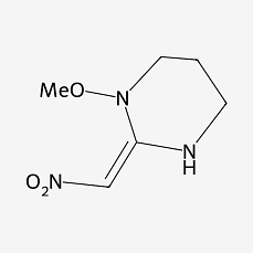 CON1CCCNC1=C[N+](=O)[O-]